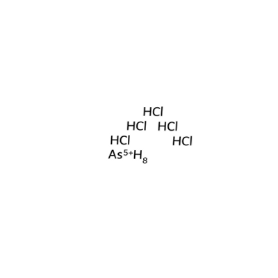 Cl.Cl.Cl.Cl.Cl.[AsH8+5]